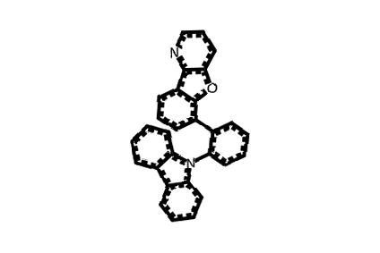 c1ccc(-n2c3ccccc3c3ccccc32)c(-c2cccc3c2oc2cccnc23)c1